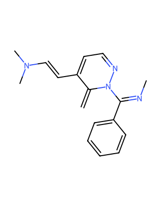 C=C1C(/C=C/N(C)C)=CC=NN1/C(=N\C)c1ccccc1